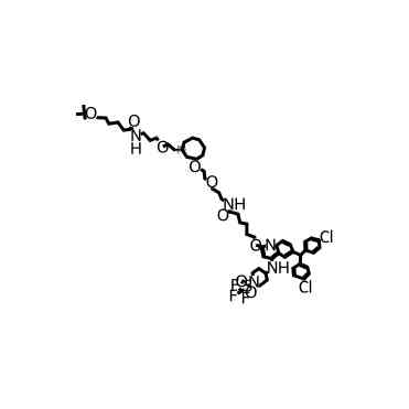 CC(C)(C)OCCCCCC(=O)NCCCOCC[C@H]1CCCCCC(OCCOCCCNC(=O)CCCCCOc2cc(NC3CCN(S(=O)(=O)C(F)(F)F)CC3)c3cc(C(c4ccc(Cl)cc4)c4ccc(Cl)cc4)ccc3n2)C1